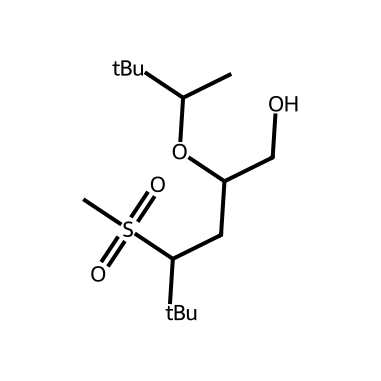 CC(OC(CO)CC(C(C)(C)C)S(C)(=O)=O)C(C)(C)C